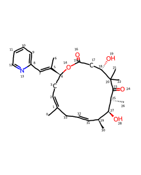 C/C1=C/C[C@@H](/C(C)=C/c2ccccn2)OC(=O)C[C@H](O)C(C)(C)C(=O)[C@H](C)[C@@H](O)[C@@H](C)/C=C/C1